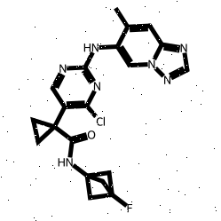 Cc1cc2ncnn2cc1Nc1ncc(C2(C(=O)NC34CC(F)(C3)C4)CC2)c(Cl)n1